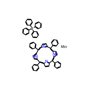 C1=Cc2nc1c(-c1ccccc1)c1ccc([nH]1)c(-c1ccccc1)c1nc(c(-c3ccccc3)c3ccc([nH]3)c2-c2ccccc2)C=C1.[Mn].c1ccc([B-](c2ccccc2)(c2ccccc2)c2ccccc2)cc1